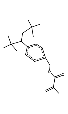 C=C(C)C(=O)OCc1ccc(C(CC(C)(C)C)C(C)(C)C)cc1